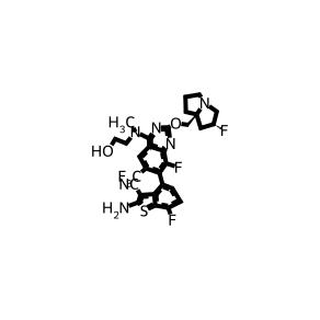 CN(CCO)c1nc(OC[C@@]23CCCN2C[C@H](F)C3)nc2c(F)c(-c3ccc(F)c4sc(N)c(C#N)c34)c(C(F)(F)F)cc12